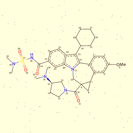 COc1ccc2c(c1)C1CC1(C(=O)N1CC[C@@H](N(C)C)C1)Cn1c-2c(C2CCCCC2)c2ccc(C(=O)NS(=O)(=O)N(C)C)cc21